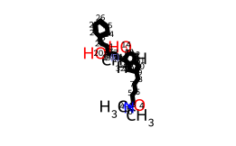 CN(C)C(=O)CCCCC1=C[C@H]2C[C@@H](O)[C@H](/C=C/[C@@](C)(O)CCc3ccccc3)[C@H]2C1